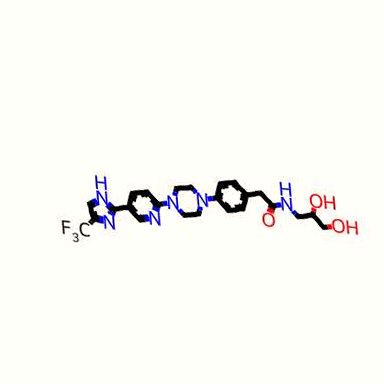 O=C(Cc1ccc(N2CCN(c3ccc(-c4nc(C(F)(F)F)c[nH]4)cn3)CC2)cc1)NCC(O)CO